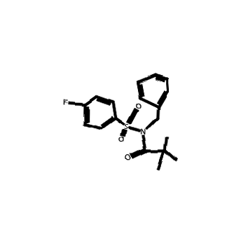 CC(C)(C)C(=O)N(Cc1ccccc1)S(=O)(=O)c1ccc(F)cc1